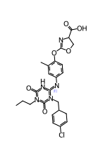 CCCn1c(=O)[nH]/c(=N\c2ccc(OC3=NC(C(=O)O)CO3)c(C)c2)n(CC2C=CC(Cl)=CC2)c1=O